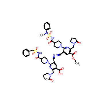 CCOC(=O)c1cc(C#N)c(N2CCC(C(=O)NS(=O)(=O)N(C)c3ccccc3)CC2)nc1CN1CCCC1=O.N#Cc1cc(C(=O)O)c(CN2CCCCC2=O)nc1N1CCC(C(=O)NS(=O)(=O)Cc2ccccc2)CC1